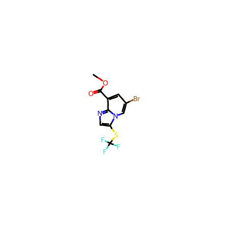 COC(=O)c1cc(Br)cn2c(SC(F)(F)F)cnc12